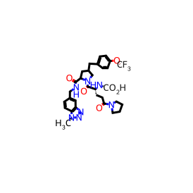 Cn1nnc2cc(CNC(=O)C3CC(Cc4ccc(OC(F)(F)F)cc4)CN3C(=O)[C@@H](CCC(=O)N3CCCC3)NC(=O)O)ccc21